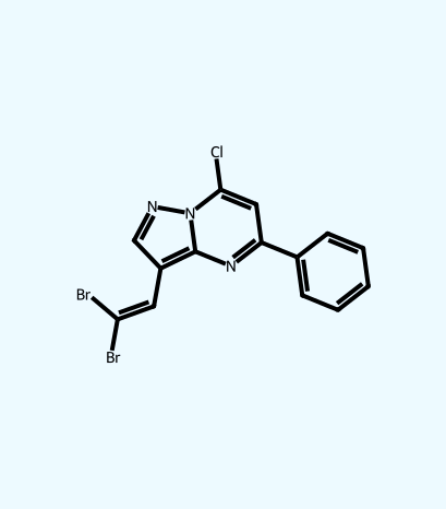 Clc1cc(-c2ccccc2)nc2c(C=C(Br)Br)cnn12